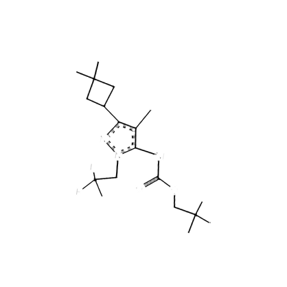 Cc1c(C2CC(F)(F)C2)nn(CC(F)(F)F)c1NC(=O)OCC(C)(C)F